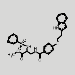 COC(=O)C(CNC(=O)c1ccc(OCCc2cc3ccccc3[nH]2)cc1)NS(=O)(=O)c1ccccc1